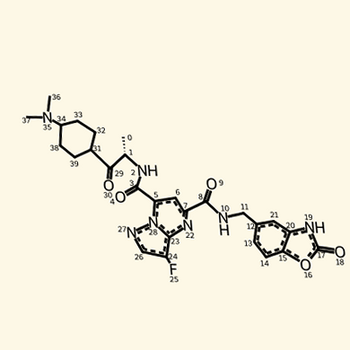 C[C@H](NC(=O)c1cc(C(=O)NCc2ccc3oc(=O)[nH]c3c2)nc2c(F)cnn12)C(=O)C1CCC(N(C)C)CC1